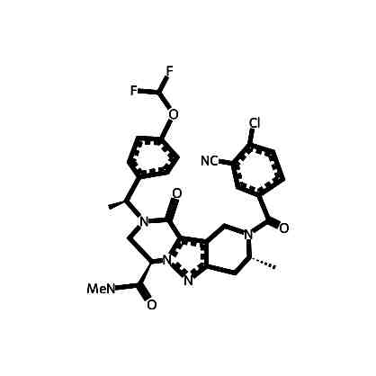 CNC(=O)[C@H]1CN([C@@H](C)c2ccc(OC(F)F)cc2)C(=O)c2c3c(nn21)C[C@@H](C)N(C(=O)c1ccc(Cl)c(C#N)c1)C3